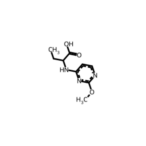 CCC(Nc1ccnc(OC)n1)C(=O)O